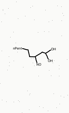 CCCCCCCC(CC(O)O)N=O